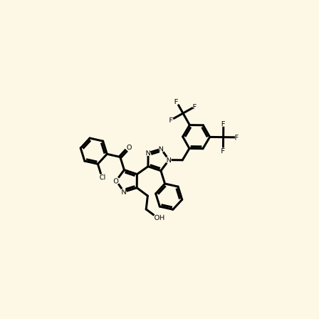 O=C(c1ccccc1Cl)c1onc(CCO)c1-c1nnn(Cc2cc(C(F)(F)F)cc(C(F)(F)F)c2)c1-c1ccccc1